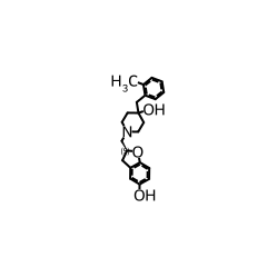 Cc1ccccc1CC1(O)CCN(C[C@@H]2Cc3cc(O)ccc3O2)CC1